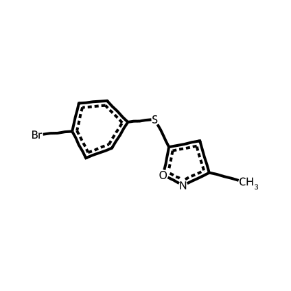 Cc1cc(Sc2ccc(Br)cc2)on1